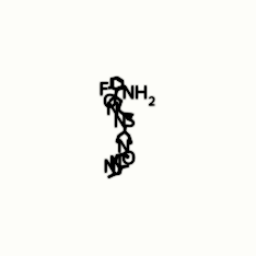 Cc1cc(C)n(CC(=O)N2CCC(c3nc(C4=NOC(c5c(N)cccc5F)C4)cs3)CC2)n1